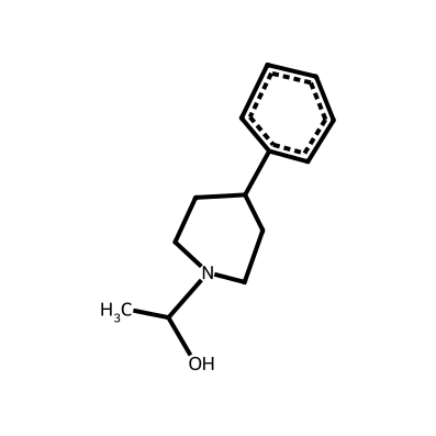 CC(O)N1CCC(c2ccccc2)CC1